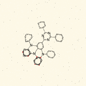 c1ccc(-c2nc(-c3ccccc3)nc(-c3cc(N(c4ccccc4)c4ccccc4)c(N(c4ccccc4)c4cccnc4)c(N(c4ccccc4)c4ccccc4)c3)n2)cc1